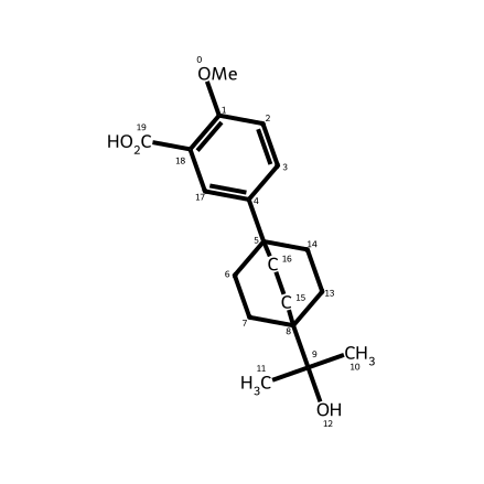 COc1ccc(C23CCC(C(C)(C)O)(CC2)CC3)cc1C(=O)O